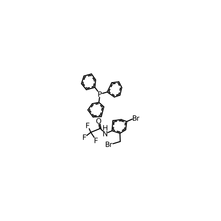 O=C(Nc1ccc(Br)cc1CBr)C(F)(F)F.c1ccc(P(c2ccccc2)c2ccccc2)cc1